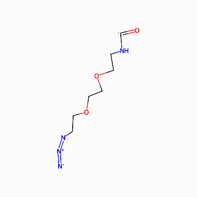 [N-]=[N+]=NCCOCCOCCN[C]=O